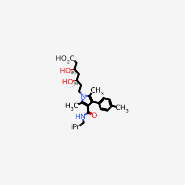 Cc1ccc(-c2c(C(=O)NCC(C)C)c(C)n(CC[C@@H](O)C[C@@H](O)CC(=O)O)c2C)cc1